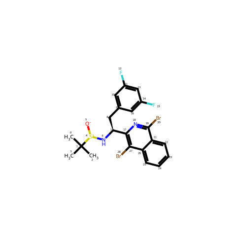 CC(C)(C)[S+]([O-])N[C@@H](Cc1cc(F)cc(F)c1)c1nc(Br)c2ccccc2c1Br